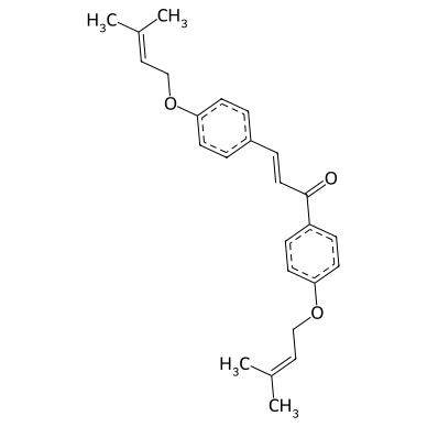 CC(C)=CCOc1ccc(/C=C/C(=O)c2ccc(OCC=C(C)C)cc2)cc1